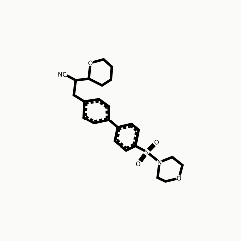 N#CC(Cc1ccc(-c2ccc(S(=O)(=O)N3CCOCC3)cc2)cc1)C1CCCCO1